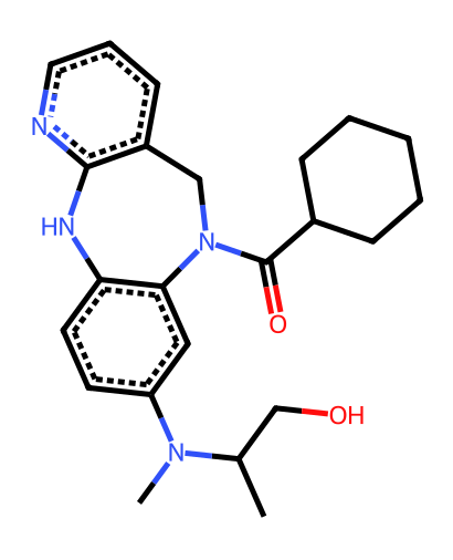 CC(CO)N(C)c1ccc2c(c1)N(C(=O)C1CCCCC1)Cc1cccnc1N2